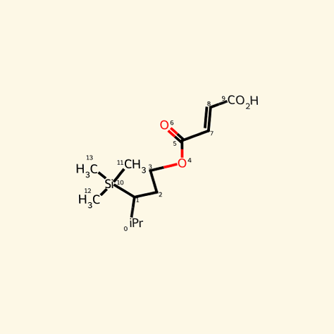 CC(C)C(CCOC(=O)C=CC(=O)O)[Si](C)(C)C